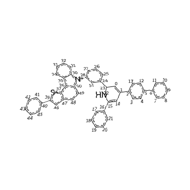 C1=C(c2ccc(-c3ccccc3)cc2)C=C(c2ccccc2)NC1c1cccc(-n2c3ccccc3c3c4sc(-c5ccccc5)cc4ccc32)c1